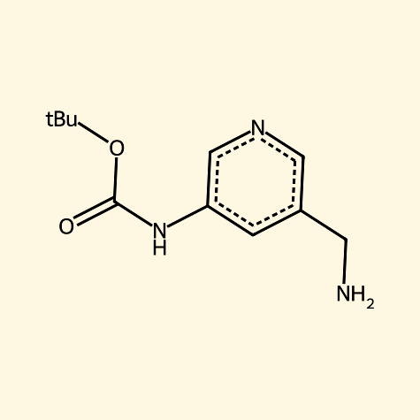 CC(C)(C)OC(=O)Nc1cncc(CN)c1